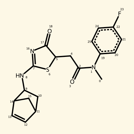 CN(C(=O)CC1SC(NC2CC3C=CC2C3)=NC1=O)c1ccc(F)cc1